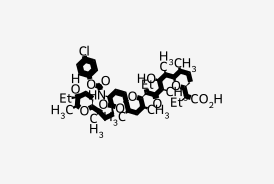 CCC(C(=O)[C@@H](C)[C@@H](O)[C@H](C)[C@@H]1O[C@@H]([C@@H](CC)C(=O)O)CC[C@@H]1C)[C@H]1O[C@]2(C=C[C@@H](NC(=O)Oc3ccc(Cl)cc3)[C@]3(CC[C@@](C)([C@H]4CC[C@](O)(CC)[C@H](C)O4)O3)O2)[C@H](C)C[C@@H]1C